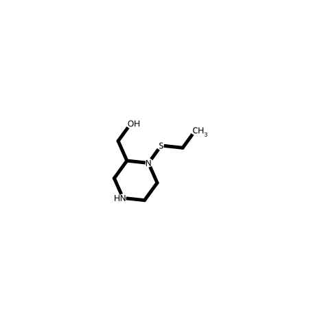 CCSN1CCNCC1CO